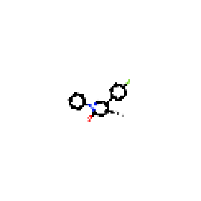 Cc1cc(=O)n(-c2ccccc2)cc1-c1ccc(F)cc1